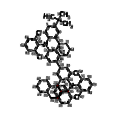 CC(C)(C)c1ccc2c(c1)C13CCC(CC1)c1c(-c4ccc5c(c4)C46c7ccccc7C(c7ccccc74)c4cccc(c46)N5c4c(Cl)cccc4Cl)ccc(c13)N2c1c(Cl)cccc1Cl